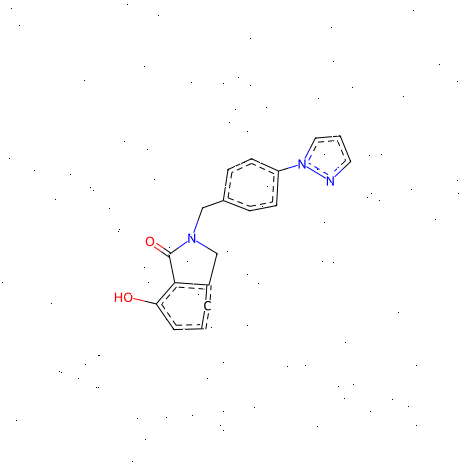 O=C1c2c(O)cccc2CN1Cc1ccc(-n2cccn2)cc1